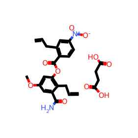 C=CCc1cc([N+](=O)[O-])ccc1C(=O)Oc1cc(OC)cc(C(N)=O)c1CC=C.O=C(O)CCC(=O)O